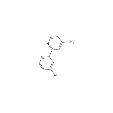 CC(=O)c1ccnc(-c2cc(C)ccn2)c1